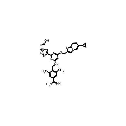 Cc1cc(C(=N)N)cc(C)c1CNc1cc(OCc2cn3cc(C4CC4)ccc3n2)nc(-c2nn[nH]n2)n1.O=CO